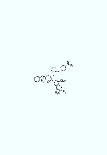 COc1cc(C(=O)N(C/C(C)=C/c2ccccc2)CC2CCCN2C[C@H]2CC[C@@H](NC(C)C)CC2)cc2c1OC(C)(C)O2